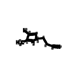 Cc1nn(CCC#N)cc1I